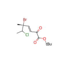 CC(Cl)[C@](C)(Br)/C=C/C(=O)C(=O)OC(C)(C)C